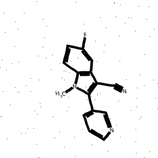 Cn1c(-c2cccnc2)c(C#N)c2cc(F)ccc21